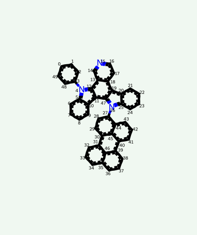 c1ccc(-n2c3ccccc3c3c2c2cnccc2c2c4ccccc4n(-c4ccc5c6cccc7cccc(c8cccc4c85)c76)c23)cc1